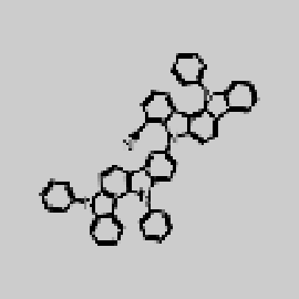 N#Cc1cccc2c3c(ccc4c5ccccc5n(-c5ccccc5)c43)n(-c3ccc4c(c3)c3ccc5c(c6ccccc6n5-c5ccccc5)c3n4-c3ccccc3)c12